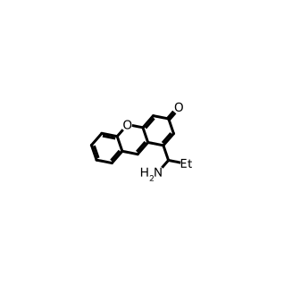 CCC(N)c1cc(=O)cc2oc3ccccc3cc1-2